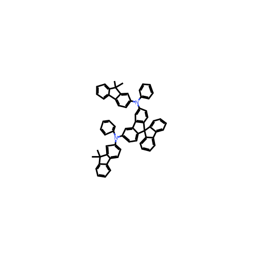 CC1(C)c2ccccc2-c2ccc(N(c3ccccc3)c3ccc4c(c3)-c3cc(N(c5ccccc5)c5ccc6c(c5)C(C)(C)c5ccccc5-6)ccc3C43c4ccccc4-c4ccccc43)cc21